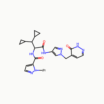 CC(C)n1nccc1C(=O)NC(C(=O)Nc1cnn(Cc2ccn[nH]c2=O)c1)C(C1CC1)C1CC1